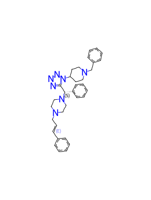 C(=C\c1ccccc1)/CN1CCN([C@@H](c2ccccc2)c2nnnn2C2CCN(Cc3ccccc3)CC2)CC1